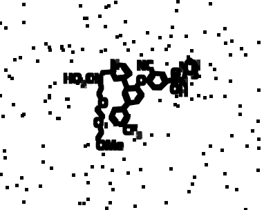 COCCOCCOCCN(Cc1cc(-c2cc(-c3cccc(C(F)(F)F)c3)ccc2Oc2ccc(S(=O)(=O)Nc3ncns3)cc2C#N)ccn1)C(=O)O